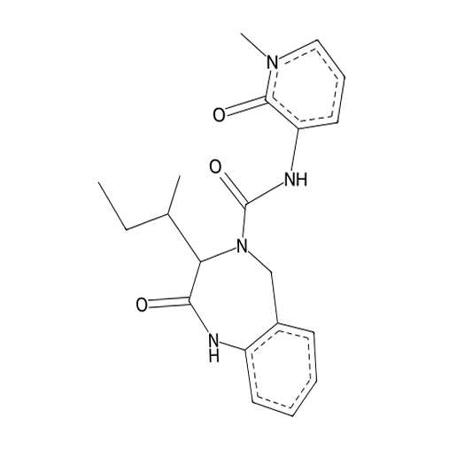 CCC(C)C1C(=O)Nc2ccccc2CN1C(=O)Nc1cccn(C)c1=O